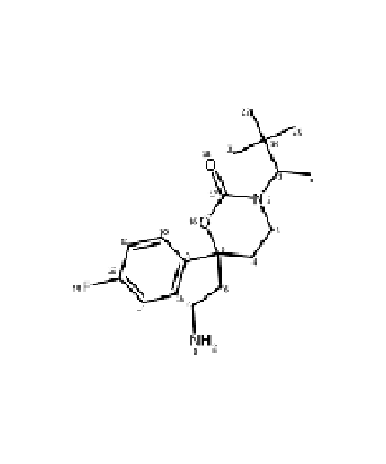 CC(N1CCC(CCN)(c2ccc(F)cc2)OC1=O)C(C)(C)C